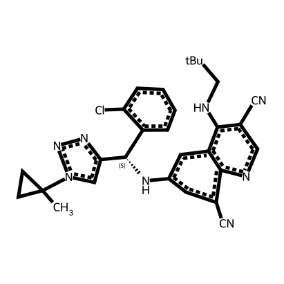 CC(C)(C)CNc1c(C#N)cnc2c(C#N)cc(N[C@H](c3cn(C4(C)CC4)nn3)c3ccccc3Cl)cc12